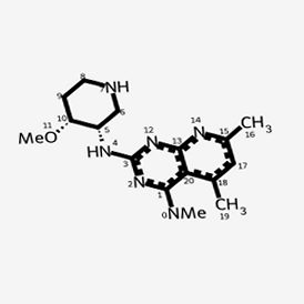 CNc1nc(N[C@H]2CNCC[C@H]2OC)nc2nc(C)cc(C)c12